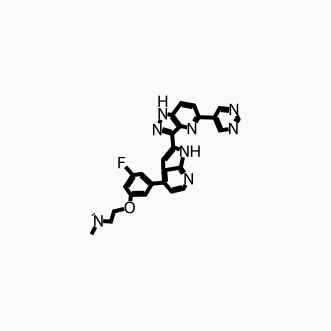 CN(C)CCOc1cc(F)cc(-c2ccnc3[nH]c(-c4n[nH]c5ccc(-c6cncnc6)nc45)cc23)c1